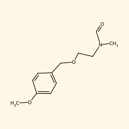 COc1ccc(COCCN(C)C=O)cc1